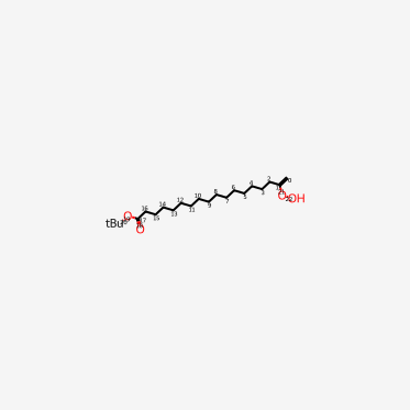 C=C(CCCCCCCCCCCCCCCC(=O)OC(C)(C)C)OO